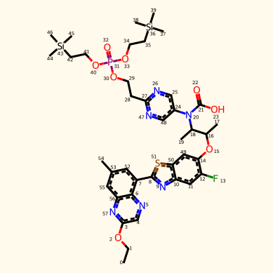 CCOc1cnc2c(-c3nc4cc(F)c(OC(C)C(C)N(C(=O)O)c5cnc(CCOP(=O)(OCC[Si](C)(C)C)OCC[Si](C)(C)C)nc5)cc4s3)cc(C)cc2n1